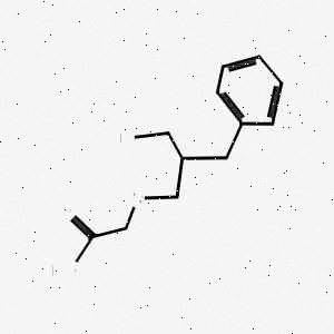 O=C(O)CNCC(CS)Cc1ccccc1